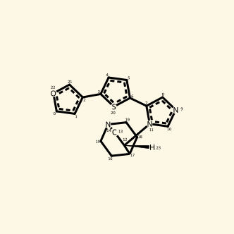 c1cc(-c2ccc(-c3cncn3[C@H]3CN4CCC3CC4)s2)co1